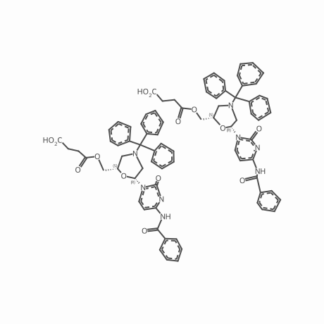 O=C(O)CCC(=O)OC[C@@H]1CN(C(c2ccccc2)(c2ccccc2)c2ccccc2)C[C@H](n2ccc(NC(=O)c3ccccc3)nc2=O)O1.O=C(O)CCC(=O)OC[C@@H]1CN(C(c2ccccc2)(c2ccccc2)c2ccccc2)C[C@H](n2ccc(NC(=O)c3ccccc3)nc2=O)O1